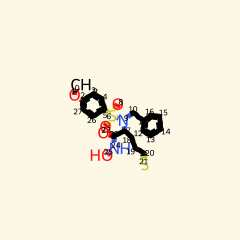 COc1ccc(S(=O)(=O)N(Cc2ccccc2)C(CCC=S)C(=O)NO)cc1